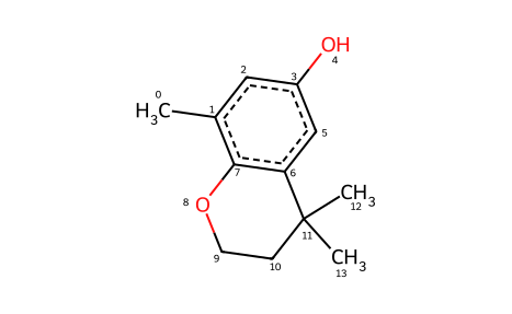 Cc1cc(O)cc2c1OCCC2(C)C